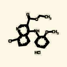 CCOC(=O)c1cnc2c(Cl)cccc2c1Nc1ccccc1OC.Cl